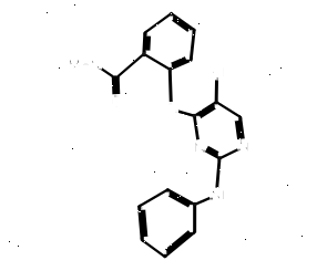 CNC(=O)c1ccccc1Oc1nc(Nc2ccccc2)ncc1C(F)(F)F